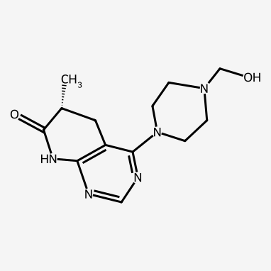 C[C@@H]1Cc2c(ncnc2N2CCN(CO)CC2)NC1=O